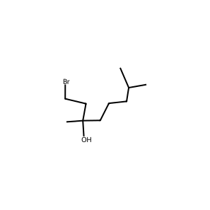 CC(C)CCCC(C)(O)CCBr